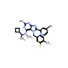 CC(C)c1ccnc(-c2nc3nc(C#N)nc(N(C)C(C)C4CCC4)c3n2Cc2ccc(C(F)(F)F)c(F)c2)c1